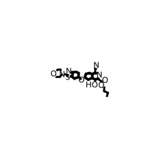 CCCCOC(=O)c1nc(C#N)c2ccc(Oc3ccc4nc(N5CCOCC5)sc4c3)cc2c1O